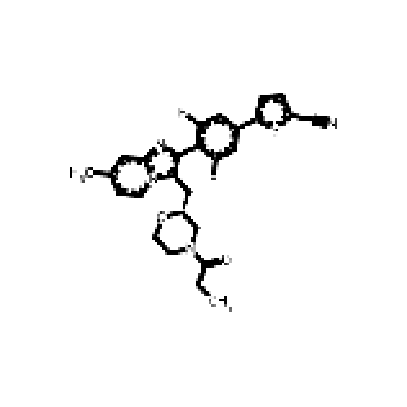 CCC(=O)N1CCO[C@@H](Cc2c(-c3c(F)cc(-c4ccc(C#N)s4)cc3F)nc3cc(C)ccn23)C1